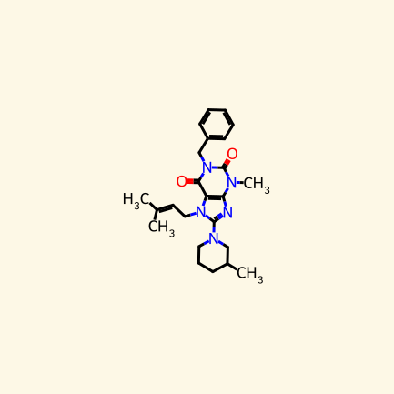 CC(C)=CCn1c(N2CCCC(C)C2)nc2c1c(=O)n(Cc1ccccc1)c(=O)n2C